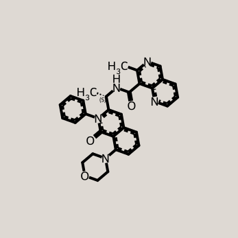 Cc1ncc2cccnc2c1C(=O)N[C@@H](C)c1cc2cccc(N3CCOCC3)c2c(=O)n1-c1ccccc1